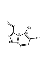 O=Cc1c[nH]c2ccc(Cl)c(O)c12